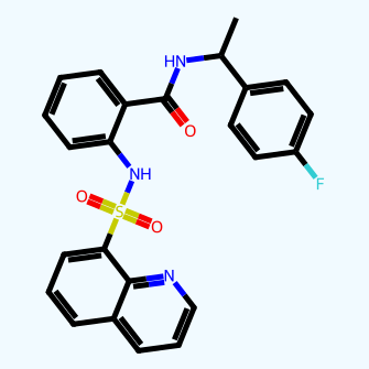 CC(NC(=O)c1ccccc1NS(=O)(=O)c1cccc2cccnc12)c1ccc(F)cc1